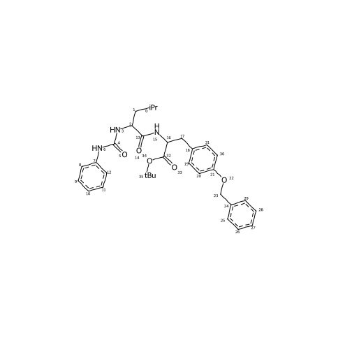 CC(C)CC(NC(=O)Nc1ccccc1)C(=O)NC(Cc1ccc(OCc2ccccc2)cc1)C(=O)OC(C)(C)C